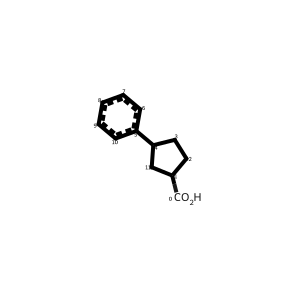 O=C(O)C1CCC(c2ccccc2)C1